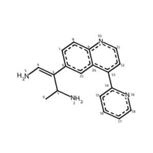 CC(N)/C(=C\N)c1ccc2nccc(-c3ccccn3)c2c1